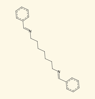 C(=NCCCCCCCN=Cc1ccccc1)c1ccccc1